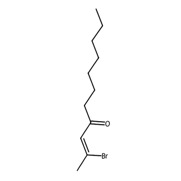 CCCCCCCC(=O)C=C(C)Br